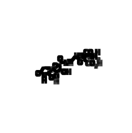 N[C@@](CC(=O)O)(NC(=O)CCCNC(=O)[C@H]1O[C@@H](N2CCC(=O)NC2=O)[C@@H](O)[C@@H]1O)C(=O)O